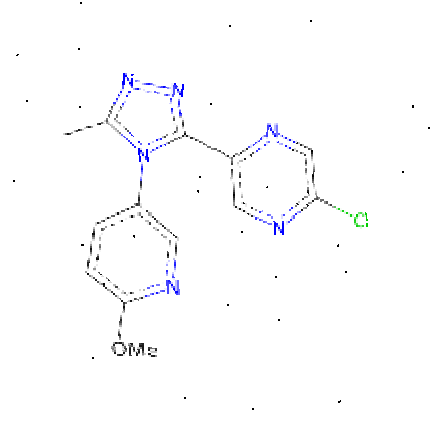 COc1ccc(-n2c(C)nnc2-c2cnc(Cl)cn2)cn1